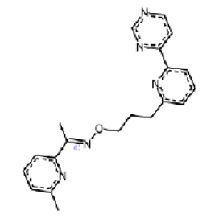 C/C(=N\OCCCc1cccc(-c2ccncn2)n1)c1cccc(C)n1